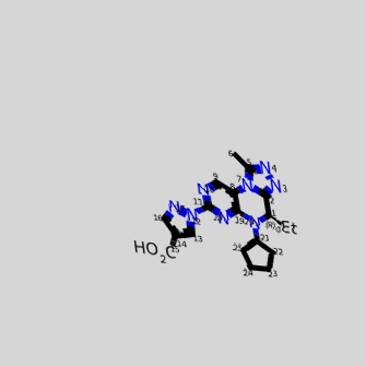 CC[C@@H]1c2nnc(C)n2-c2cnc(-n3cc(C(=O)O)cn3)nc2N1C1CCCC1